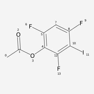 CC(=O)Oc1c(F)cc(F)c(I)c1F